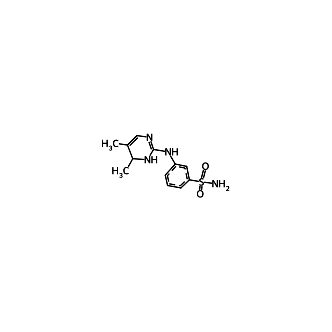 CC1=CN=C(Nc2cccc(S(N)(=O)=O)c2)NC1C